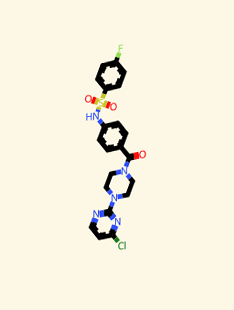 O=C(c1ccc(NS(=O)(=O)c2ccc(F)cc2)cc1)N1CCN(c2nccc(Cl)n2)CC1